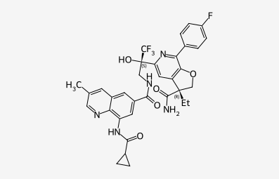 CC[C@]1(C(N)=O)COc2c1cc([C@@](O)(CNC(=O)c1cc(NC(=O)C3CC3)c3ncc(C)cc3c1)C(F)(F)F)nc2-c1ccc(F)cc1